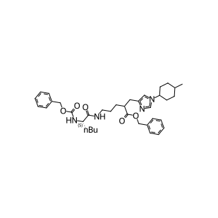 CCCC[C@H](NC(=O)OCc1ccccc1)C(=O)NCCCC(Cc1cn(C2CCC(C)CC2)cn1)C(=O)OCc1ccccc1